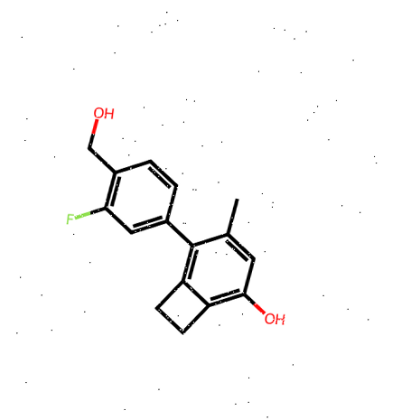 Cc1cc(O)c2c(c1-c1ccc(CO)c(F)c1)CC2